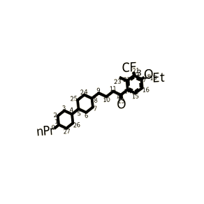 CCCC1CCC(C2CCC(CCCC(=O)c3ccc(OCC)c(C(F)(F)F)c3C)CC2)CC1